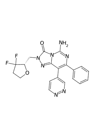 Nc1nc(-c2ccccc2)c(-c2ccnnc2)c2nn(C[C@@H]3OCCC3(F)F)c(=O)n12